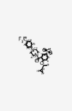 CC(Oc1ccc(S(C)(=O)=O)cc1C(=O)N1CCN(c2ccc(C(F)(F)F)cc2)CC1)C1CC1